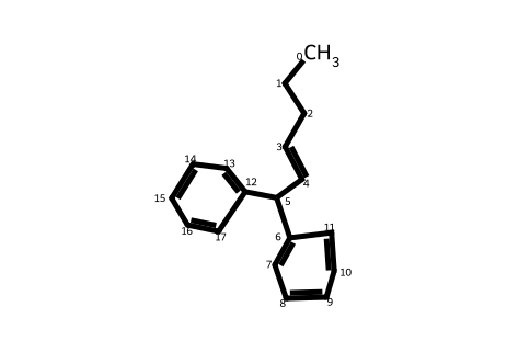 CCCC=CC(c1ccccc1)c1ccccc1